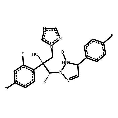 C[C@@H](N1N=CC(c2ccc(F)cc2)[NH+]1[O-])[C@](O)(Cn1cncn1)c1ccc(F)cc1F